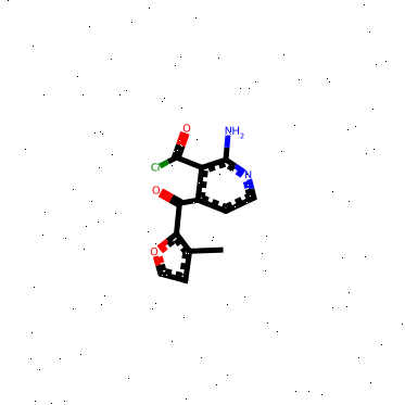 Cc1ccoc1C(=O)c1ccnc(N)c1C(=O)Cl